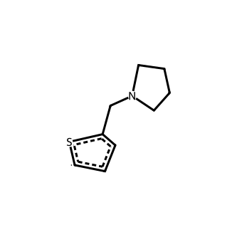 [c]1ccc(CN2CCCC2)s1